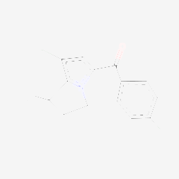 O=C(c1ccc(F)cc1)c1cc(Cl)c2n1CCC2C(=O)O